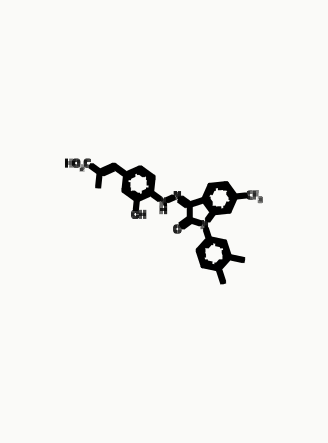 C/C(=C\c1ccc(N/N=C2\C(=O)N(c3ccc(C)c(C)c3)c3cc(C(F)(F)F)ccc32)c(O)c1)C(=O)O